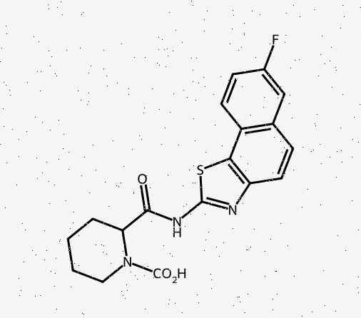 O=C(Nc1nc2ccc3cc(F)ccc3c2s1)C1CCCCN1C(=O)O